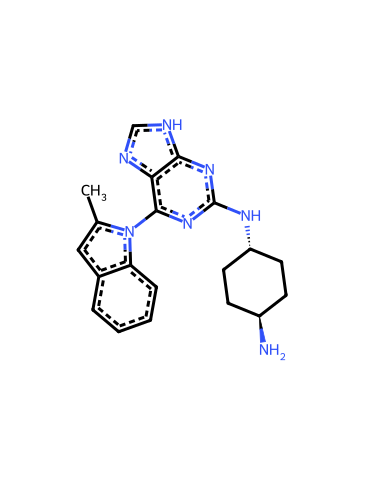 Cc1cc2ccccc2n1-c1nc(N[C@H]2CC[C@H](N)CC2)nc2[nH]cnc12